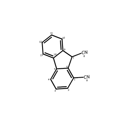 N#Cc1cccc2c1C(C#N)c1ccccc1-2